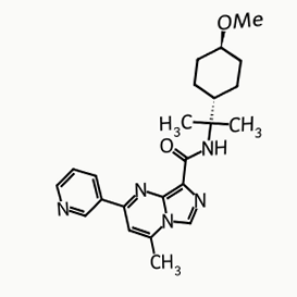 CO[C@H]1CC[C@H](C(C)(C)NC(=O)c2ncn3c(C)cc(-c4cccnc4)nc23)CC1